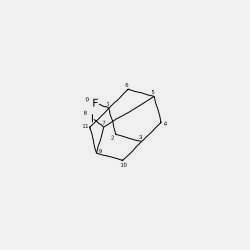 FC12CC3CC(C1)C(I)C(C3)C2